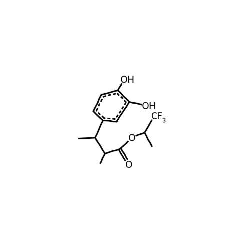 CC(C(=O)OC(C)C(F)(F)F)C(C)c1ccc(O)c(O)c1